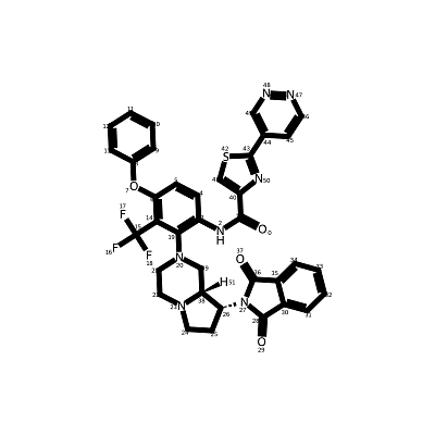 O=C(Nc1ccc(Oc2ccccc2)c(C(F)(F)F)c1N1CCN2CC[C@@H](N3C(=O)c4ccccc4C3=O)[C@H]2C1)c1csc(-c2ccnnc2)n1